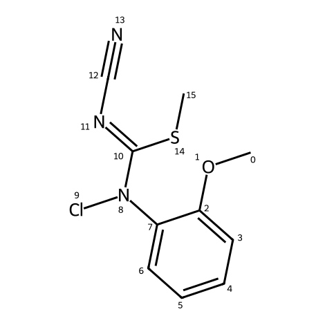 COc1ccccc1N(Cl)C(=NC#N)SC